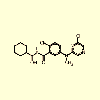 CN(c1ccc(Cl)c(C(=O)NC(O)C2CCCCC2)c1)c1cncc(Cl)n1